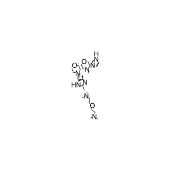 CCN1CCOCC1.CN(C)CCOCCN(C)C.CN1CCOCC1.Cc1ncc[nH]1.c1c[nH]cn1